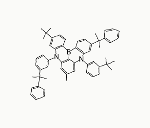 Cc1cc2c3c(c1)N(c1cccc(C(C)(C)C)c1)c1cc(C(C)(C)c4ccccc4)ccc1B3c1ccc(C(C)(C)C)cc1N2c1cccc(C(C)(C)c2ccccc2)c1